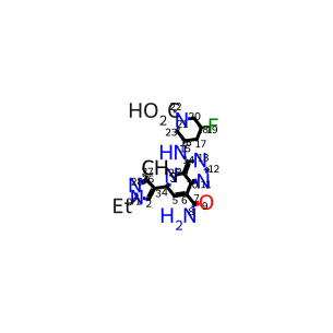 CCn1cc(-c2cc(C(N)=O)c3ncnc(N[C@H]4C[C@H](F)CN(C(=O)O)C4)c3n2)c(C)n1